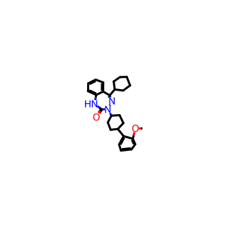 COc1ccccc1C1CCC(N2N=C(C3CCCCC3)c3ccccc3NC2=O)CC1